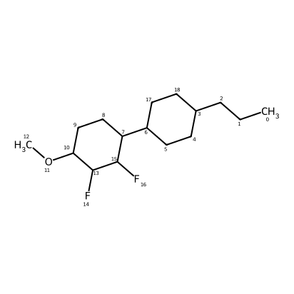 CCCC1CCC(C2CCC(OC)C(F)C2F)CC1